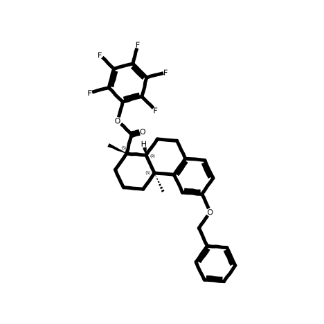 C[C@]1(C(=O)Oc2c(F)c(F)c(F)c(F)c2F)CCC[C@]2(C)c3cc(OCc4ccccc4)ccc3CC[C@@H]12